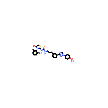 CCc1cccc(C)c1N1C(=O)CSC1=NC(=O)NCCCc1cccc(-c2ncn(-c3ccc(OC(F)(F)F)cc3)n2)c1